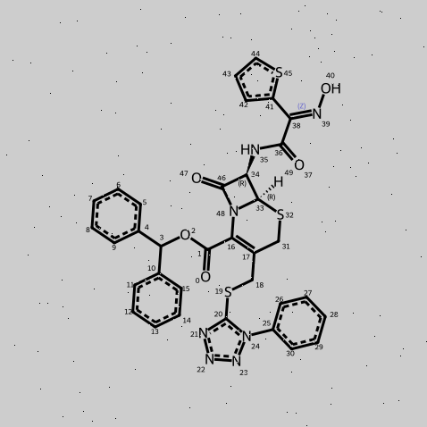 O=C(OC(c1ccccc1)c1ccccc1)C1=C(CSc2nnnn2-c2ccccc2)CS[C@@H]2[C@H](NC(=O)/C(=N/O)c3cccs3)C(=O)N12